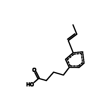 C/C=C/c1cccc(CCCC(=O)O)c1